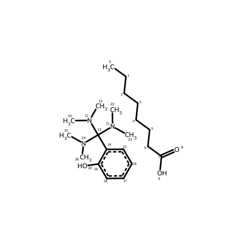 CCCCCCCC(=O)O.CN(C)C(c1ccccc1O)(N(C)C)N(C)C